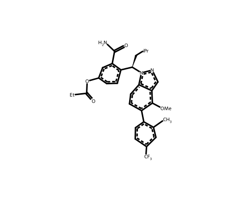 CCC(=O)Oc1ccc([C@@H](CC(C)C)n2ncc3c(OC)c(-c4ccc(C(F)(F)F)cc4C)ccc32)c(C(N)=O)c1